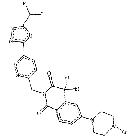 CCC1(CC)C(=O)N(Cc2ccc(-c3nnc(C(F)F)o3)cn2)C(=O)c2ccc(N3CCN(C(C)=O)CC3)cc21